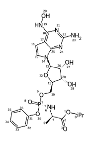 CC(C)OC(=O)[C@@H](C)N[P@](=O)(OC[C@H]1O[C@@H](n2ccc3c(NO)nc(N)nc32)[C@H](O)[C@@H]1O)Oc1ccccc1